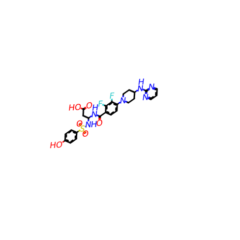 O=C(O)CC(NC(=O)c1ccc(N2CCC(Nc3ncccn3)CC2)c(F)c1F)NS(=O)(=O)c1ccc(O)cc1